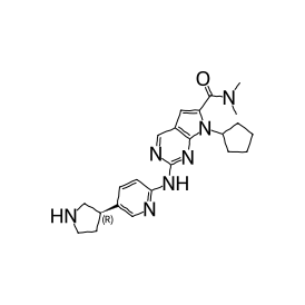 CN(C)C(=O)c1cc2cnc(Nc3ccc([C@H]4CCNC4)cn3)nc2n1C1CCCC1